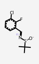 CC(C)(C)[S+]([O-])/N=C/c1cccc(Cl)c1F